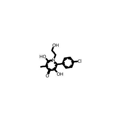 Cc1c(O)n(CCO)c(-c2ccc(Cl)cc2)c(O)c1=O